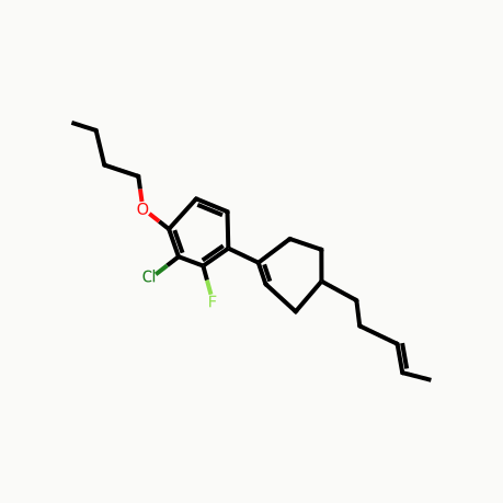 C/C=C/CCC1CC=C(c2ccc(OCCCC)c(Cl)c2F)CC1